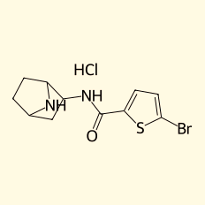 Cl.O=C(NC1CC2CCC1N2)c1ccc(Br)s1